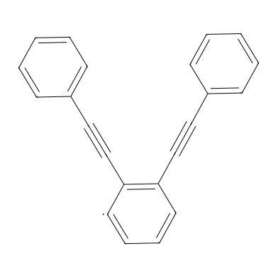 C(#Cc1[c]cccc1C#Cc1ccccc1)c1ccccc1